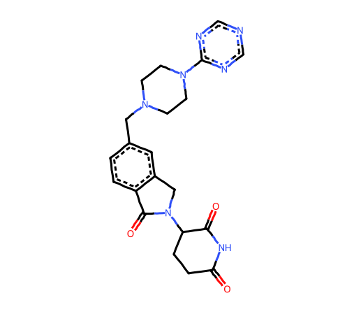 O=C1CCC(N2Cc3cc(CN4CCN(c5ncncn5)CC4)ccc3C2=O)C(=O)N1